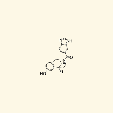 CCC1C2Cc3ccc(O)cc3C1(CC)CCN2C(=O)c1ccc2nc[nH]c2c1